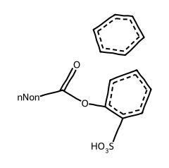 CCCCCCCCCC(=O)Oc1ccccc1S(=O)(=O)O.c1ccccc1